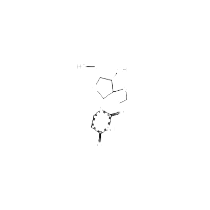 O=c1ccn([C@@H]2O[C@H](CO)[C@@H](O)[C@]23CCS3)c(=O)[nH]1